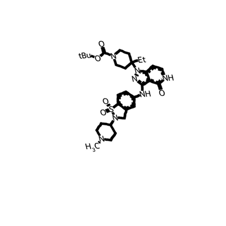 CCC1(n2nc(Nc3ccc4c(c3)CN(C3CCN(C)CC3)S4(=O)=O)c3c(=O)[nH]ccc32)CCN(C(=O)OC(C)(C)C)CC1